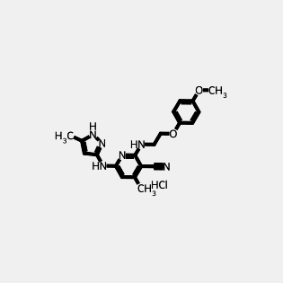 COc1ccc(OCCNc2nc(Nc3cc(C)[nH]n3)cc(C)c2C#N)cc1.Cl